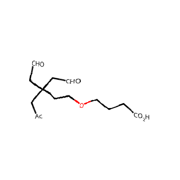 CC(=O)CC(CC=O)(CC=O)CCOCCCC(=O)O